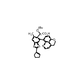 Cc1cc2nc(C3=CCCC3)sc2c(-c2ccc3c4c(ccnc24)CCO3)c1[C@H](OC(C)(C)C)C(=O)O